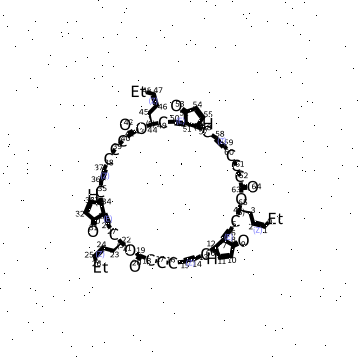 CC/C=C\C[C@H]1C/C=C2/C(=O)C=C[C@@H]2C/C=C\CCCC(=O)O[C@@H](C/C=C\CC)C/C=C2/C(=O)C=C[C@@H]2C/C=C\CCCC(=O)O[C@@H](C/C=C\CC)C/C=C2/C(=O)C=C[C@@H]2C/C=C\CCCC(=O)O1